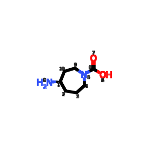 N[C@@H]1CCCN(C(=O)O)CC1